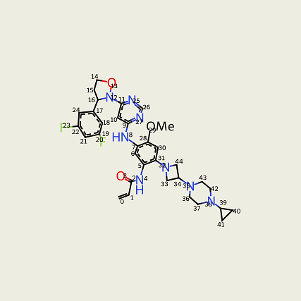 C=CC(=O)Nc1cc(Nc2cc(N3OCCC3c3cc(F)cc(F)c3)ncn2)c(OC)cc1N1CC(N2CCN(C3CC3)CC2)C1